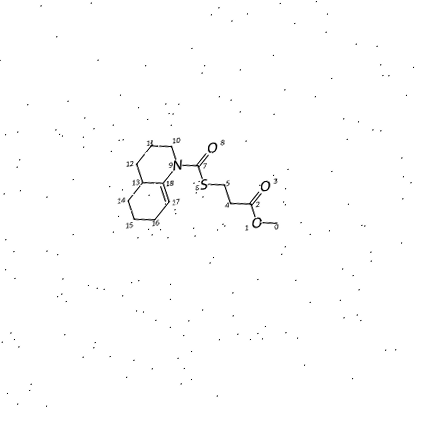 COC(=O)CCSC(=O)N1CCCC2CCCC=C21